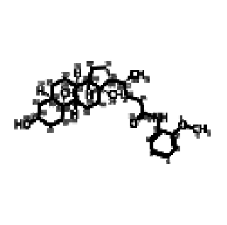 COc1ccccc1NC(=O)CC[C@@H](C)[C@H]1CC[C@H]2[C@@H]3CC[C@@H]4C[C@H](O)CC[C@]4(C)[C@H]3CC[C@]12C